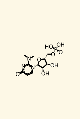 CN(C)c1nc(=O)ccn1[C@@H]1O[C@H](COP(=O)(O)O)[C@@H](O)[C@H]1O